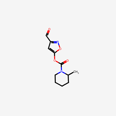 CC1CCCCN1C(=O)Oc1cc(C=O)no1